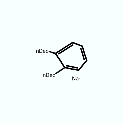 CCCCCCCCCCc1ccccc1CCCCCCCCCC.[Na]